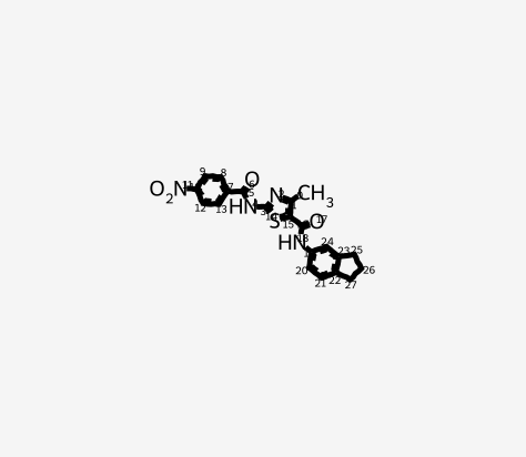 Cc1nc(NC(=O)c2ccc([N+](=O)[O-])cc2)sc1C(=O)Nc1ccc2c(c1)CCC2